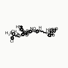 CC1(C)CCC(CN2CCN(c3ccc(C(=O)NS(=O)(=O)c4ccc(NC[C@H]5CC[C@H](NCCCCCNc6cccc7c6C(=O)N(C6CCC(=O)NC6=O)C7=O)CC5)c([N+](=O)[O-])c4)c(Oc4cnc5[nH]ccc5c4)c3)CC2)=C(c2ccc(Cl)cc2)C1